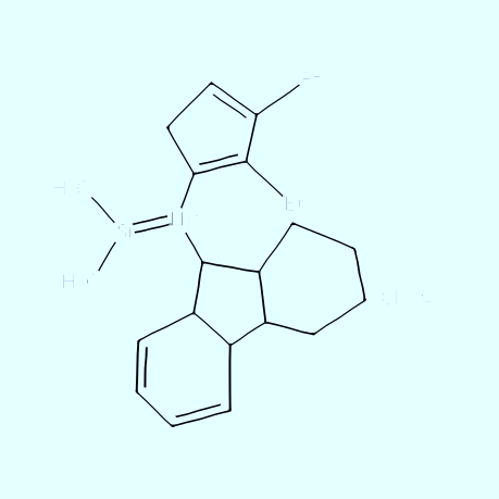 CCC1=CC[C]([Hf+2]([CH]2C3C=CC=CC3C3CCCCC32)=[Si](C)C)=C1CC.[Cl-].[Cl-]